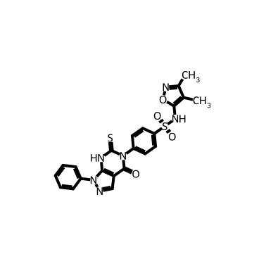 Cc1noc(NS(=O)(=O)c2ccc(-n3c(=S)[nH]c4c(cnn4-c4ccccc4)c3=O)cc2)c1C